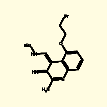 CCCCN/C=C1\C(=N)C(N)=Nc2cccc(OCCC(C)C)c21